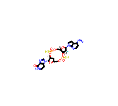 Nc1ccnc2c1ccn2[C@@H]1O[C@@H]2COP(=O)(S)O[C@@H]3C[C@@H](COP(=O)(S)O[C@H]2[C@@H]1F)O[C@H]3n1cnc2c(=O)[nH]ccc21